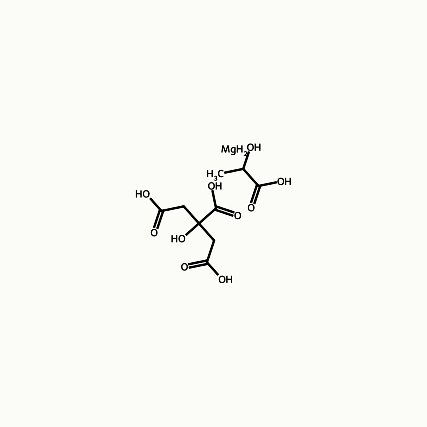 CC(O)C(=O)O.O=C(O)CC(O)(CC(=O)O)C(=O)O.[MgH2]